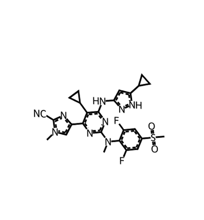 CN(c1nc(Nc2cc(C3CC3)[nH]n2)c(C2CC2)c(-c2cn(C)c(C#N)n2)n1)c1c(F)cc(S(C)(=O)=O)cc1F